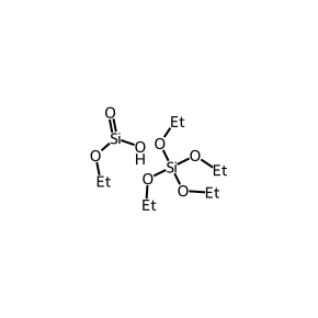 CCO[Si](=O)O.CCO[Si](OCC)(OCC)OCC